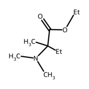 CCOC(=O)C(C)(CC)N(C)C